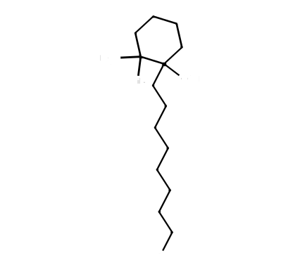 CCC(C)C1(C(=O)O)CCCCC1(CCCCCCCCC(C)C)C(=O)O